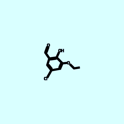 CCOc1cc(Cl)cc(C=O)c1O